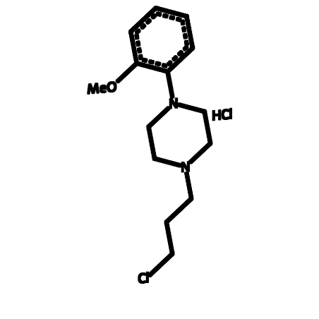 COc1ccccc1N1CCN(CCCCl)CC1.Cl